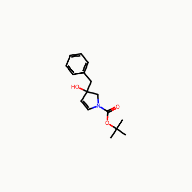 CC(C)(C)OC(=O)N1C=CC(O)(Cc2ccccc2)C1